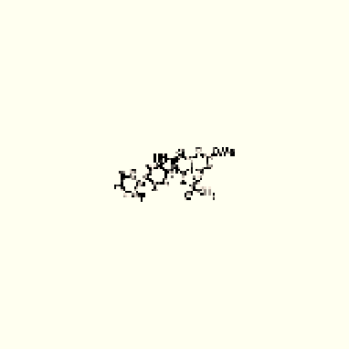 COc1ccc(C(CS(C)(=O)=O)n2c(=O)[nH]c3cc(-c4ccccc4F)ccc32)cc1